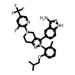 Cc1cccc(OCC(C)C)c1-n1nc2c(c1-c1ccc3[nH]nc(N)c3c1)CN(c1ncc(C(F)(F)F)cc1F)CC2